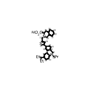 CCC(CC)c1ccc(N(Cc2ccc(-c3csc(CN4Cc5ccccc5CC4C(=O)O)c3)cc2)C(C)C)cc1